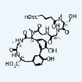 CCCCCCCCCCCCCC(=O)N(C)[C@H](CO)C(=O)N[C@H](C)C(=O)NCC(=O)N(C)[C@@H]1C(=O)N[C@@H](C)C(=O)N[C@H](C(=O)O)Cc2ccc(O)c(c2)-c2cc1ccc2O